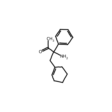 CC(=O)C(N)(CC1=CCCCC1)c1ccccc1